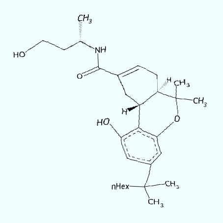 CCCCCCC(C)(C)c1cc(O)c2c(c1)OC(C)(C)[C@@H]1CC=C(C(=O)N[C@@H](C)CCO)C[C@@H]21